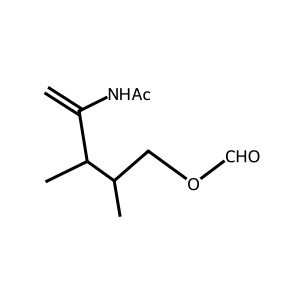 C=C(NC(C)=O)C(C)C(C)COC=O